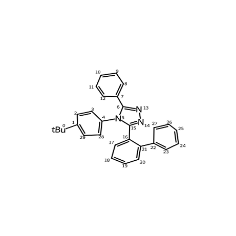 CC(C)(C)c1ccc(-n2c(-c3ccccc3)nnc2-c2ccccc2-c2ccccc2)cc1